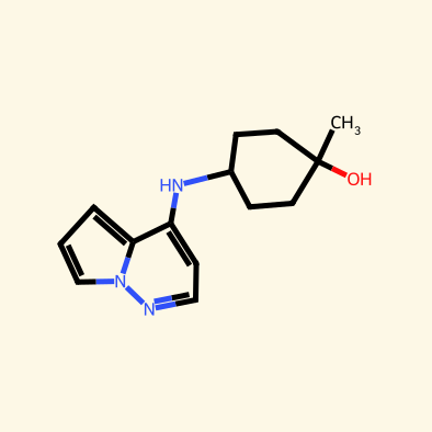 CC1(O)CCC(Nc2ccnn3cccc23)CC1